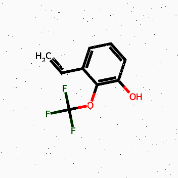 C=[C]c1cccc(O)c1OC(F)(F)F